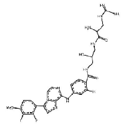 CCc1cc(Nc2nccn3c(-c4ccc(OC)c(F)c4F)cnc23)ccc1C(=O)NCC(O)CNC(=O)C(N)CNC(=N)N